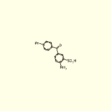 CC(C)c1ccc(C(=O)c2ccc(N)c(S(=O)(=O)O)c2)cc1